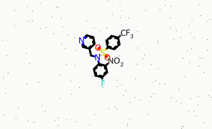 O=[N+]([O-])c1cc(F)ccc1N(Cc1cccnc1)S(=O)(=O)c1ccc(C(F)(F)F)cc1